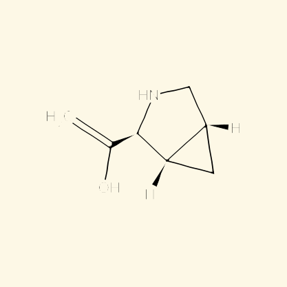 C=C(O)[C@H]1NC[C@@H]2C[C@@H]21